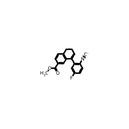 [C-]#[N+]c1ccc(F)cc1C1=CCCc2ccc(C(=O)OC)cc21